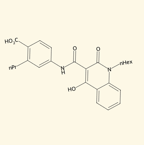 CCCCCCn1c(=O)c(C(=O)Nc2ccc(C(=O)O)c(CCC)c2)c(O)c2ccccc21